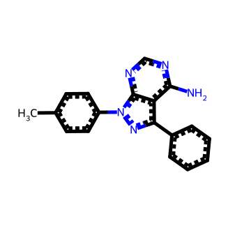 Cc1ccc(-n2nc(-c3ccccc3)c3c(N)ncnc32)cc1